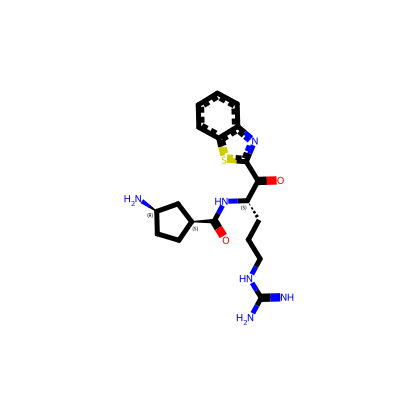 N=C(N)NCCC[C@H](NC(=O)[C@H]1CC[C@@H](N)C1)C(=O)c1nc2ccccc2s1